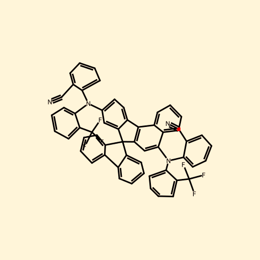 N#Cc1ccccc1N(c1ccc2c(c1)C1(c3ccccc3-c3ccccc31)c1cc(N(c3ccccc3C#N)c3ccccc3C(F)(F)F)c3ccccc3c1-2)c1ccccc1C(F)(F)F